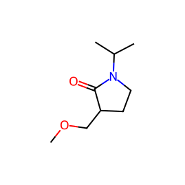 COCC1CCN(C(C)C)C1=O